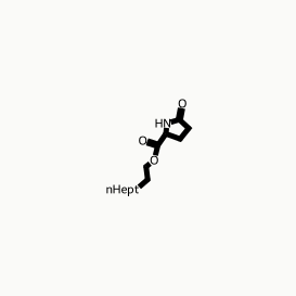 CCCCCCCCCOC(=O)C1CCC(=O)N1